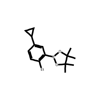 CCc1ccc(C2CC2)cc1B1OC(C)(C)C(C)(C)O1